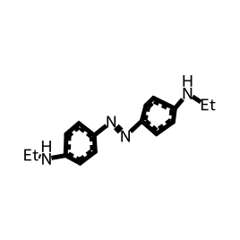 CCNc1ccc(N=Nc2ccc(NCC)cc2)cc1